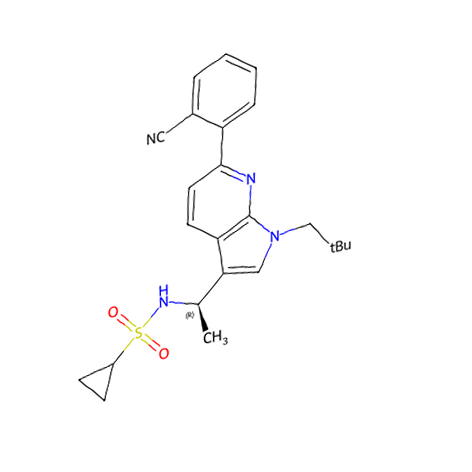 C[C@@H](NS(=O)(=O)C1CC1)c1cn(CC(C)(C)C)c2nc(-c3ccccc3C#N)ccc12